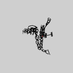 O=C1CCC(N2Cc3c(NCCOCCOCCOc4cccc(-c5ccc(Cl)cc5)c4CN4CCN(c5ccc(C(=O)NS(=O)(=O)c6ccc(NCC7CCOCC7)c([N+](=O)[O-])c6)c(Oc6cnc7[nH]ccc7c6)c5)CC4)cccc3C2=O)C(=O)N1